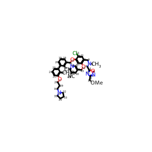 COCc1noc(CN(C)Cc2cc(Cl)c(OCc3cccc(-c4cccc(OCCCN5CCCC5)c4C)c3C)cc2OCc2cncc(C#N)c2)n1